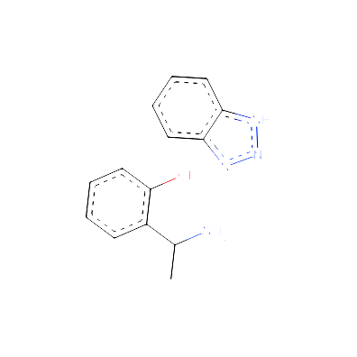 CC(N)c1ccccc1O.c1ccc2[nH]nnc2c1